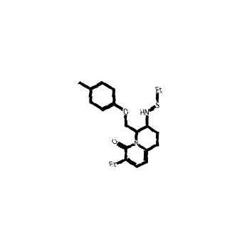 CCSNC1CCc2ccc(CC)c(=O)n2C1COC1CCC(C)CC1